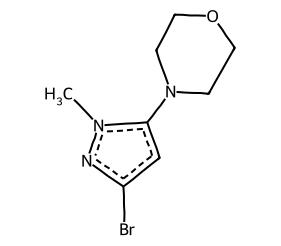 Cn1nc(Br)cc1N1CCOCC1